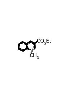 CCOC(=O)c1cc2ccccc2[n+](C)c1